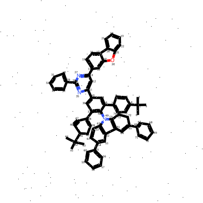 CC(C)(C)c1ccc(-c2cc(-c3cc(-c4ccc5c(c4)oc4ccccc45)nc(-c4ccccc4)n3)cc(C3=CCC(C(C)(C)C)C#C3)c2-n2c3c(c4cc(-c5ccccc5)ccc42)C=C(c2ccccc2)CC3)cc1